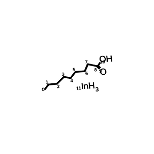 CCCCCCCCC(=O)O.[InH3]